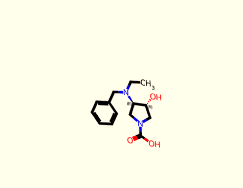 CCN(Cc1ccccc1)[C@@H]1CN(C(=O)O)C[C@H]1O